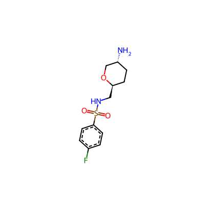 N[C@@H]1CC[C@@H](CNS(=O)(=O)c2ccc(F)cc2)OC1